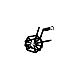 C[C]12[CH]3[CH]4[CH]5[C]1(C)[Fe]43521678[CH]2[CH]1[CH]6[C]7(C=O)[CH]28